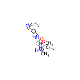 Cc1cc(C(C(=O)N2CCC[C@H]2C(=O)NCc2ccc(-c3scnc3C)cc2)C(C)C)n[nH]1